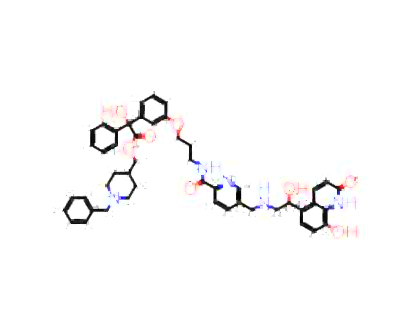 O=C(NCCCOc1cccc(C(O)(C(=O)OCC2CCN(Cc3ccccc3)CC2)c2ccccc2)c1)c1ccc(CNCC(O)c2ccc(O)c3[nH]c(=O)ccc23)cn1